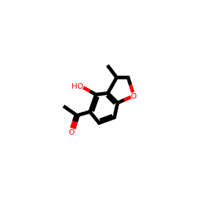 CC(=O)c1ccc2c(c1O)C(C)CO2